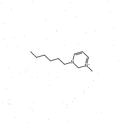 CCCCCCN1C=CC=[N+](C)C1